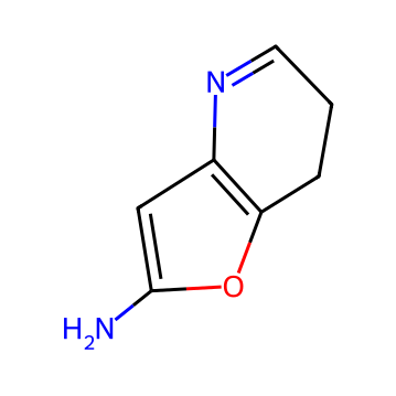 Nc1cc2c(o1)CCC=N2